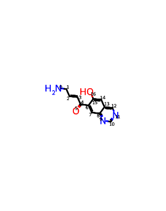 NCC=CC(=O)c1cc2ncncc2cc1O